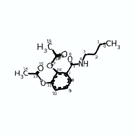 CCCCNC(=O)c1cccc(OC(C)=O)c1OC(C)=O